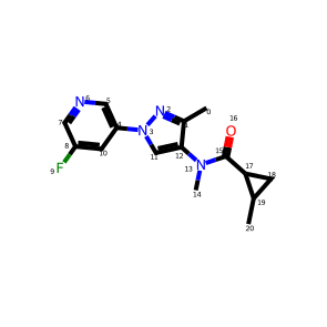 Cc1nn(-c2cncc(F)c2)cc1N(C)C(=O)C1CC1C